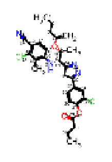 C=C(CCC)O[C@@H](C)[C@@H](Nc1ccc(C#N)c(Cl)c1C)C1=NN=C(c2ccc(OC(=O)CCC)c(Cl)c2)C1